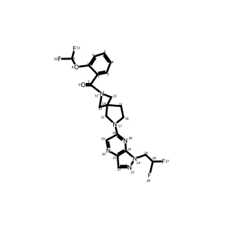 O=C(c1ccccc1OC(F)F)N1CC2(CCN(c3cnc4cnn(CC(F)F)c4n3)C2)C1